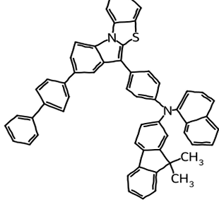 CC1(C)c2ccccc2-c2ccc(N(c3ccc(-c4c5cc(-c6ccc(-c7ccccc7)cc6)ccc5n5c4sc4ccccc45)cc3)c3cccc4ccccc34)cc21